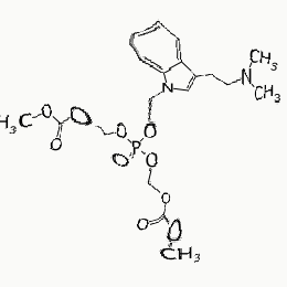 COC(=O)OCOP(=O)(OCOC(=O)OC)OCn1cc(CCN(C)C)c2ccccc21